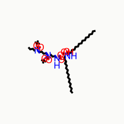 CCCCCCCCCCCCC/C=C/[C@@H](OC(=O)NCCCN(CCCCN(CCCC)C(=O)OC(C)(C)C)C(=O)OC(C)(C)C)[C@H](CO)NC(=O)CCCCCCCCCCCCCCC